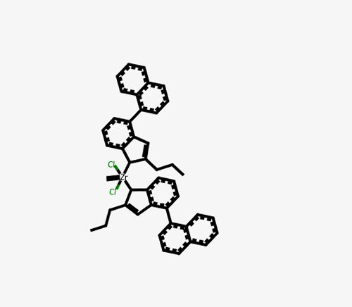 [CH2]=[Zr]([Cl])([Cl])([CH]1C(CCC)=Cc2c(-c3cccc4ccccc34)cccc21)[CH]1C(CCC)=Cc2c(-c3cccc4ccccc34)cccc21